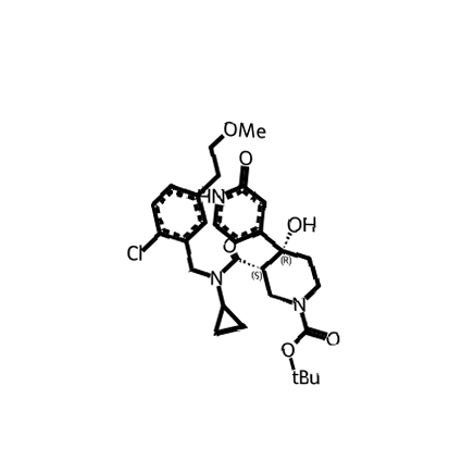 COCCc1ccc(Cl)c(CN(C(=O)[C@H]2CN(C(=O)OC(C)(C)C)CC[C@]2(O)c2cc[nH]c(=O)c2)C2CC2)c1